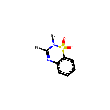 CCC1=Nc2ccccc2S(=O)(=O)N1CC